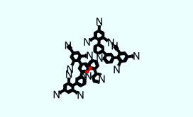 N#Cc1cc(C#N)c(-c2ccc3c(c2)c2cc(-c4c(C#N)cc(C#N)cc4C#N)ccc2n3-c2ccc(C#N)c(-c3cnccc3-n3c4ccc(-c5c(C#N)cc(C#N)cc5C#N)cc4c4cc(-c5c(C#N)cc(C#N)cc5C#N)ccc43)c2)c(C#N)c1